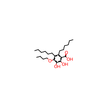 CCCCCCc1c(CCCCCC)c(C(=O)O)c(O)c(O)c1OCCCC